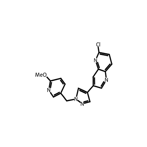 COc1ccc(Cn2cc(-c3cnc4ccc(Cl)nc4c3)cn2)cn1